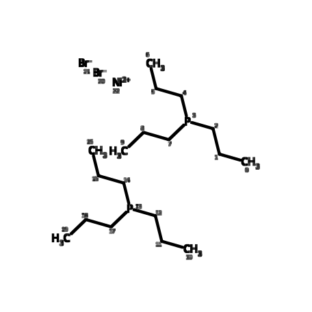 CCCP(CCC)CCC.CCCP(CCC)CCC.[Br-].[Br-].[Ni+2]